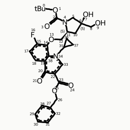 CC(C)(C)OC(=O)N1C[C@](O)(CO)C[C@H]1COc1c(F)ccc2c(=O)c(C(=O)OCc3ccccc3)cn(C3CC3)c12